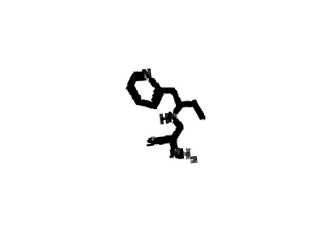 CCC(Cc1ccccn1)NCC(N)=S